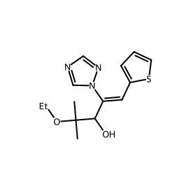 CCOC(C)(C)C(O)C(=Cc1cccs1)n1cncn1